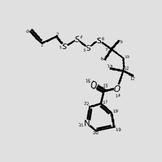 C=CCSSSSC(C)(C)CC(C)(C)OC(=O)c1cccnc1